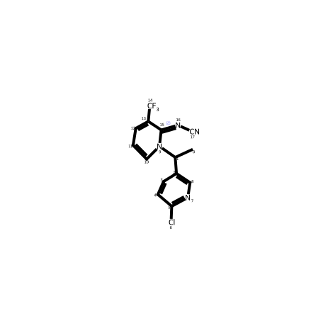 CC(c1ccc(Cl)nc1)n1cccc(C(F)(F)F)/c1=N/C#N